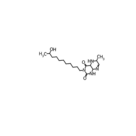 CC(O)CCCCCCCCCN1C(=O)NC2N=CC(C)NC2C1=O